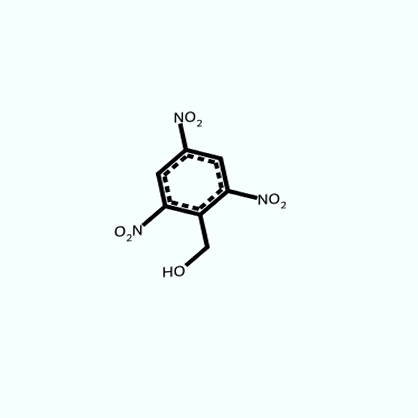 O=[N+]([O-])c1cc([N+](=O)[O-])c(CO)c([N+](=O)[O-])c1